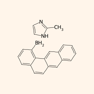 Bc1cccc2ccc3cc4ccccc4cc3c12.Cc1ncc[nH]1